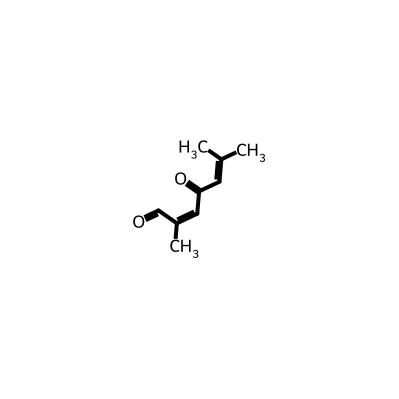 CC(C)=CC(=O)C=C(C)C=O